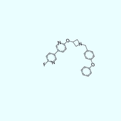 Fc1ccc(-c2ccc(OC3CN(Cc4ccc(Oc5ccccc5)cc4)C3)nc2)cn1